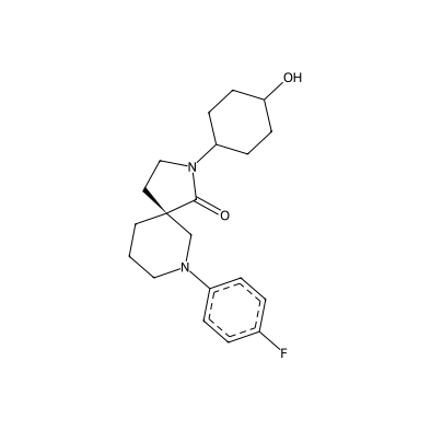 O=C1N(C2CCC(O)CC2)CC[C@@]12CCCN(c1ccc(F)cc1)C2